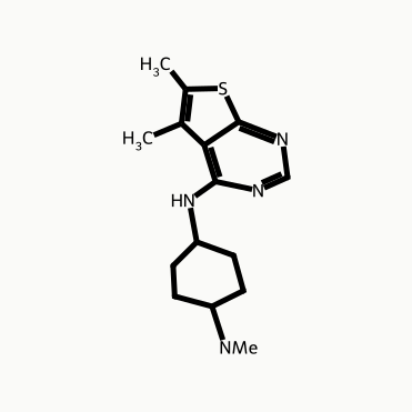 CNC1CCC(Nc2ncnc3sc(C)c(C)c23)CC1